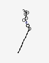 C#CC#CC#CC#CC#CC#CC#CC#COc1ccc(/C=C/C(=O)OCCOC(=O)C(C)(C)CC)cc1